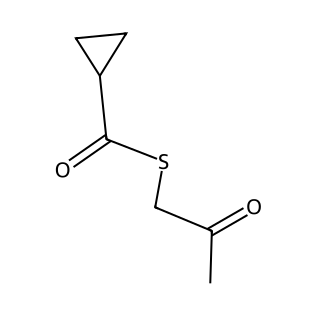 CC(=O)CSC(=O)C1CC1